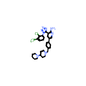 Nc1ncc(-c2ccc(CN3CCC(N4CCCCC4)CC3)cc2)cc1-c1nnnn1-c1cccc(Cl)c1Cl